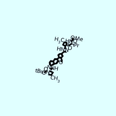 COC(=O)N[C@H](C(=O)N1CC(C)CC1c1ncc(-c2ccc3c(c2)COc2cc4c(ccc5nc([C@@H]6C[C@H](C)CN6C(=O)OC(C)(C)C)[nH]c54)cc2-3)[nH]1)C(C)C